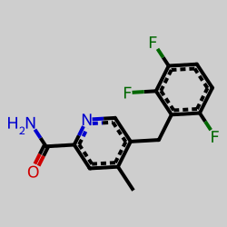 Cc1cc(C(N)=O)ncc1Cc1c(F)ccc(F)c1F